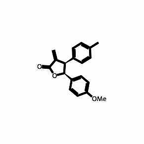 C=C1C(=O)O[C@H](c2ccc(OC)cc2)[C@@H]1c1ccc(C)cc1